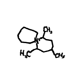 CC1CC(C)[N+]2(CCCCCC2)C(C)C1